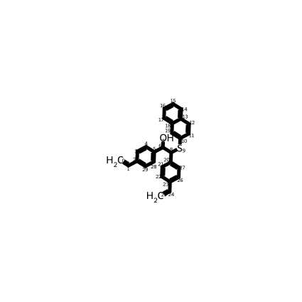 C=Cc1ccc(C(O)C(Sc2ccc3ccccc3c2)c2ccc(C=C)cc2)cc1